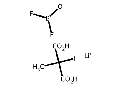 CC(F)(C(=O)O)C(=O)O.[Li+].[O-]B(F)F